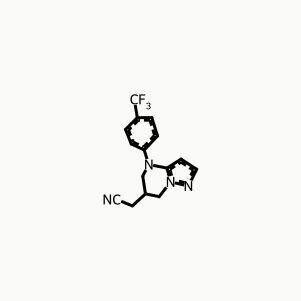 N#CCC1CN(c2ccc(C(F)(F)F)cc2)c2ccnn2C1